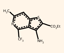 CCOC(=O)c1sc2cc(C)nc(C(F)(F)F)c2c1N